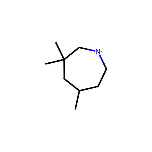 CC1CC[N]CC(C)(C)C1